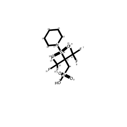 O=S(=O)(O)CC(C(F)(F)F)(C(F)(F)F)S(=O)(=O)N1CCCCC1